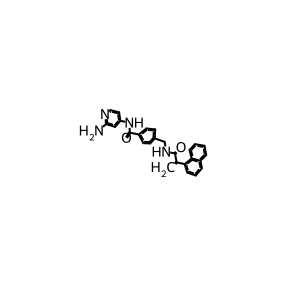 C=C(C(=O)NCc1ccc(C(=O)Nc2ccnc(N)c2)cc1)c1cccc2ccccc12